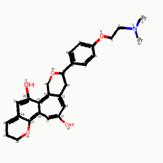 CC(C)N(CCOc1ccc(C2CC3=CC(O)=Cc4c5c(cc(O)c4=C3CO2)=CCCO5)cc1)C(C)C